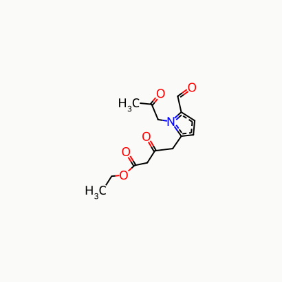 CCOC(=O)CC(=O)Cc1ccc(C=O)n1CC(C)=O